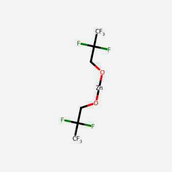 FC(F)(F)C(F)(F)C[O][Zn][O]CC(F)(F)C(F)(F)F